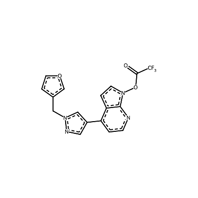 O=C(On1ccc2c(-c3cnn(Cc4ccoc4)c3)ccnc21)C(F)(F)F